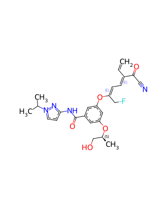 C=C/C(=C\C=C(/CF)Oc1cc(O[C@@H](C)CO)cc(C(=O)Nc2ccn(C(C)C)n2)c1)C(=O)C#N